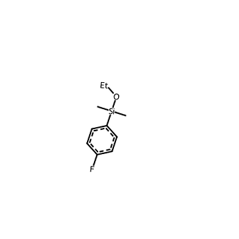 CCO[Si](C)(C)c1ccc(F)cc1